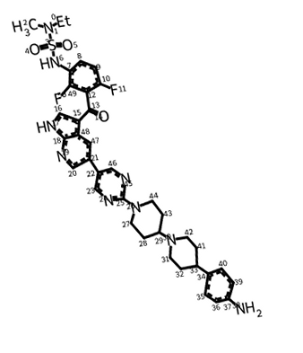 CCN(C)S(=O)(=O)Nc1ccc(F)c(C(=O)c2c[nH]c3ncc(-c4cnc(N5CCC(N6CCC(c7ccc(N)cc7)CC6)CC5)nc4)cc23)c1F